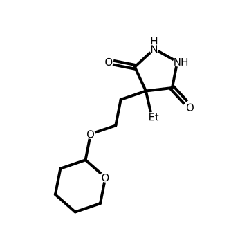 CCC1(CCOC2CCCCO2)C(=O)NNC1=O